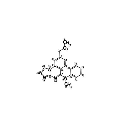 COCc1ccc2c(N(C)c3ccccc3)nc3nncn3c2c1